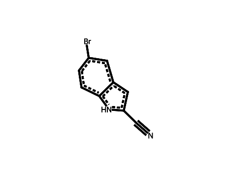 N#Cc1cc2cc(Br)ccc2[nH]1